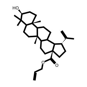 C=CCOC(=O)[C@@]12CCC3C(CCC4[C@@]3(C)CCC3C(C)(C)[C@@H](O)CC[C@@]34C)C1[C@H](C(=C)C)CC2